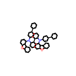 c1ccc(-c2ccc(N(c3ccccc3-c3ccccc3N(c3ccc(-c4ccccc4)cc3)c3cccc4oc5ccccc5c34)c3cccc4oc5ccccc5c34)cc2)cc1